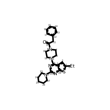 CCc1cc2c(N3CCN(C(=O)Cc4ccccc4)CC3)nc(N3CCCCC3)nc2s1